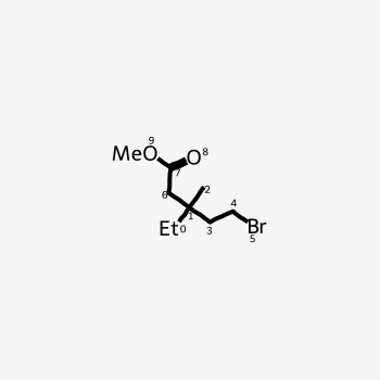 CCC(C)(CCBr)CC(=O)OC